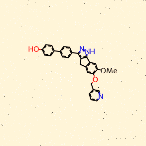 COc1cc2c(cc1OCc1cccnc1)Cc1c(-c3ccc(-c4ccc(O)cc4)cc3)n[nH]c1-2